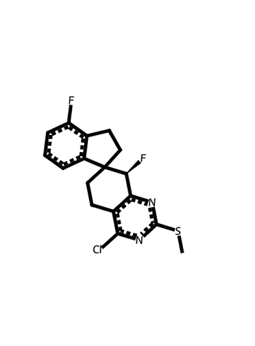 CSc1nc(Cl)c2c(n1)[C@H](F)C1(CCc3c(F)cccc31)CC2